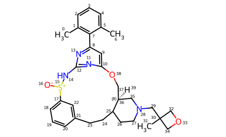 Cc1cccc(C)c1-c1cc2nc(n1)N[S+]([O-])c1cccc(c1)CCC1CCN(CC3(C)COC3)C[C@@H]1CO2